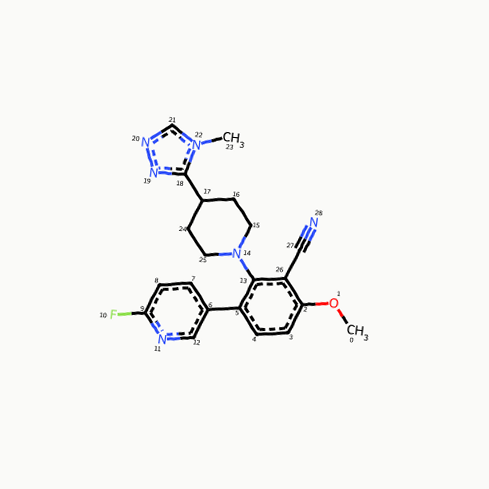 COc1ccc(-c2ccc(F)nc2)c(N2CCC(c3nncn3C)CC2)c1C#N